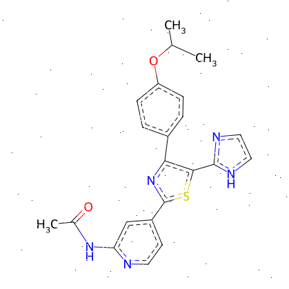 CC(=O)Nc1cc(-c2nc(-c3ccc(OC(C)C)cc3)c(-c3ncc[nH]3)s2)ccn1